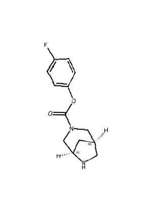 O=C(Oc1ccc(F)cc1)N1C[C@H]2CN[C@H](C2)C1